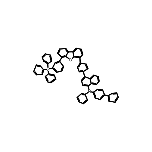 c1ccc(-c2ccc(N(c3ccccc3)c3ccc(-c4ccc(-c5cccc6c5oc5c(-c7cccc([Si](c8ccccc8)(c8ccccc8)c8ccccc8)c7)cccc56)cc4)c4ccccc34)cc2)cc1